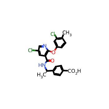 Cc1ccc(Oc2ncc(Cl)cc2C(=O)N[C@@H](C)c2ccc(C(=O)O)cc2)cc1Cl